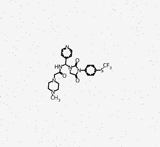 CN1CCN(CC(=O)NC(c2ccncc2)N2CC(=O)N(c3ccc(SC(F)(F)F)cc3)C2=O)CC1